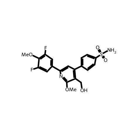 COc1nc(-c2cc(F)c(OC)c(F)c2)cc(-c2ccc(S(N)(=O)=O)cc2)c1CO